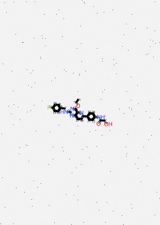 CCOc1nc(NCc2ccc(F)cc2)nc2ccc(-c3ccc(NC(=O)CO)cc3)nc12